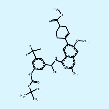 COC(=O)C1CC=C(c2cc3c(NC(C)c4cc(NC(=O)OC(C)(C)C)cc(C(F)(F)F)c4)nc(C)nc3cc2OC)CC1